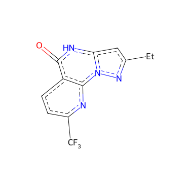 CCc1cc2[nH]c(=O)c3ccc(C(F)(F)F)nc3n2n1